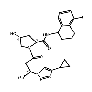 CC(C)(C)[C@@H](CC(=O)N1C[C@H](O)C[C@H]1C(=O)NC1CCSc2c(F)cccc21)n1cc(C2CC2)nn1